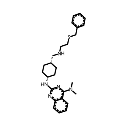 CN(C)c1nc(N[C@H]2CC[C@@H](CNCCSCc3ccccc3)CC2)nc2ccccc12